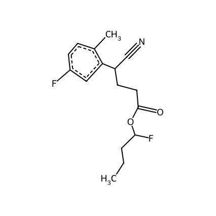 CCCC(F)OC(=O)CCC(C#N)c1cc(F)ccc1C